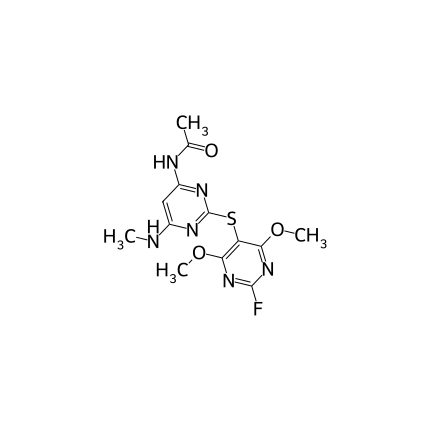 CNc1cc(NC(C)=O)nc(Sc2c(OC)nc(F)nc2OC)n1